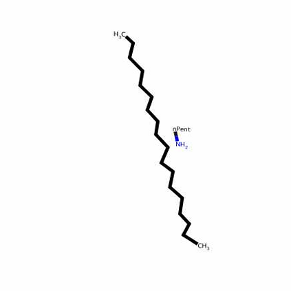 CCCCCCCCCCCCCCCCCC.CCCCCN